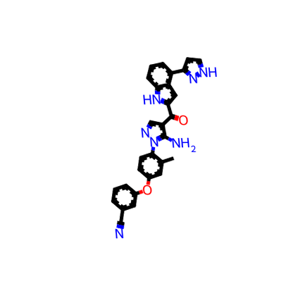 Cc1cc(Oc2cccc(C#N)c2)ccc1-n1ncc(C(=O)c2cc3c(-c4cc[nH]n4)cccc3[nH]2)c1N